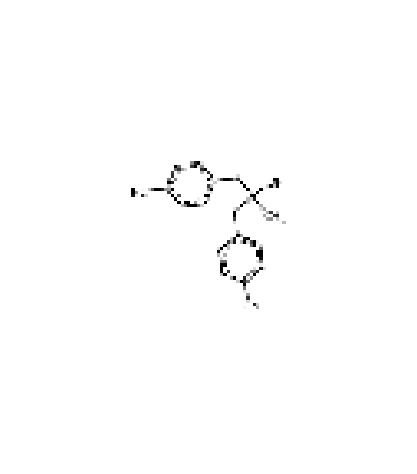 CC(O)(Cc1ccc(C#N)cc1)Cc1ccc(C#N)cc1